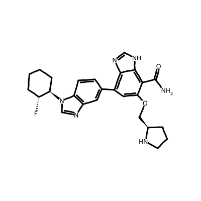 NC(=O)c1c(OC[C@H]2CCCN2)cc(-c2ccc3c(c2)ncn3[C@@H]2CCCC[C@H]2F)c2nc[nH]c12